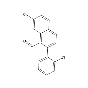 O=Cc1c(-c2ccccc2Cl)ccc2ccc(Cl)cc12